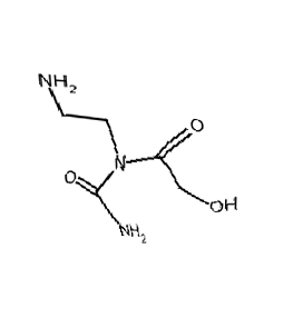 NCCN(C(N)=O)C(=O)CO